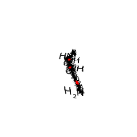 CN1CCCC1C(=O)Nc1cccc(NC(=O)CCc2ccc(NC(=O)CCCCCCCCCCCN)cc2)c1